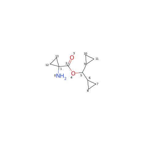 NC1(C(=O)OC(C2CC2)C2CC2)CC1